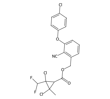 CC1(Cl)C(C(=O)OCc2cccc(Oc3ccc(Cl)cc3)c2C#N)C1(Cl)C(F)F